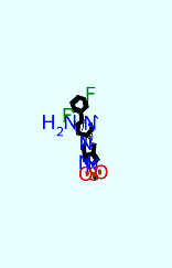 CN1C[C@H](N2Cc3cn(S(C)(=O)=O)nc3C2)C[C@H](N)C1c1cc(F)ccc1F